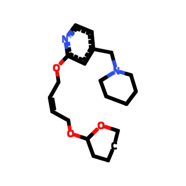 C(=C/COC1CCCCO1)/COc1cc(CN2CCCCC2)ccn1